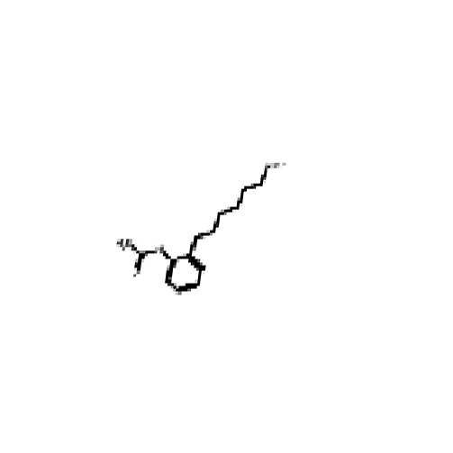 CCCCCCCCCCCCCCCCc1ccccc1[N]C(N)=O